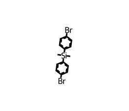 C[Si](C)(c1ccc(Br)cc1)c1ccc(Br)cc1